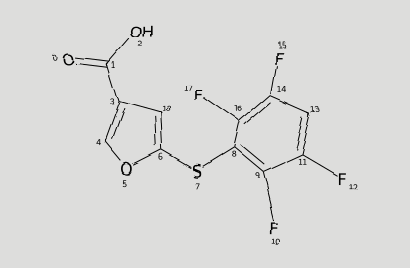 O=C(O)c1coc(Sc2c(F)c(F)cc(F)c2F)c1